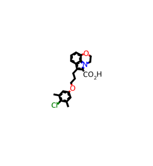 Cc1cc(OCCCc2c(C(=O)O)n3c4c(cccc24)OCC3)cc(C)c1Cl